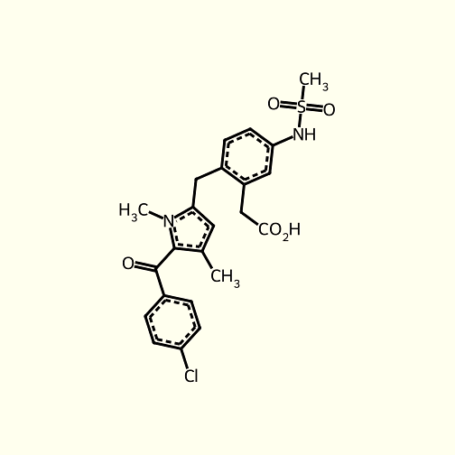 Cc1cc(Cc2ccc(NS(C)(=O)=O)cc2CC(=O)O)n(C)c1C(=O)c1ccc(Cl)cc1